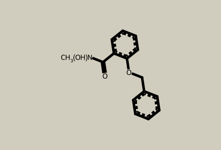 CN(O)C(=O)c1ccccc1OCc1ccccc1